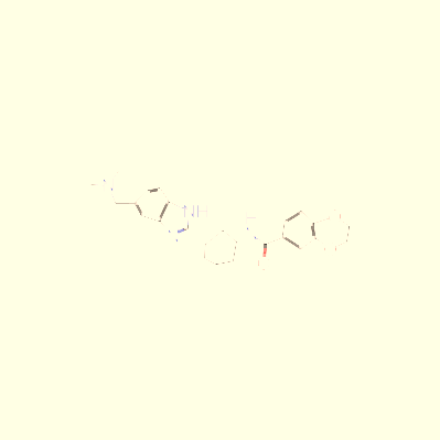 CN(C)Cc1ccc2[nH]c([C@H]3CCC[C@@H](NC(=O)c4ccc5c(c4)OCCO5)C3)nc2c1